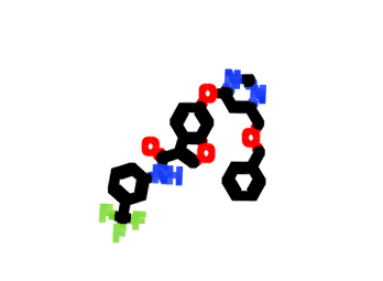 O=C(Nc1cccc(C(F)(F)F)c1)c1coc2cc(Oc3cc(COCc4ccccc4)ncn3)ccc12